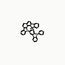 CC1(C)c2ccccc2-c2ccc3ccc4c5ccccc5n(-c5ccc6c(c5)c5ccccc5n6-c5ccccc5)c4c3c21